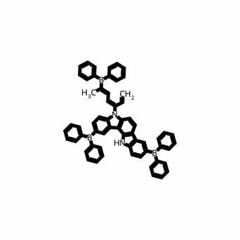 C=C/C(=C\C=C(/C)B(c1ccccc1)c1ccccc1)n1c2ccc(B(c3ccccc3)c3ccccc3)cc2c2c3[nH]c4ccc(B(c5ccccc5)c5ccccc5)cc4c3ccc21